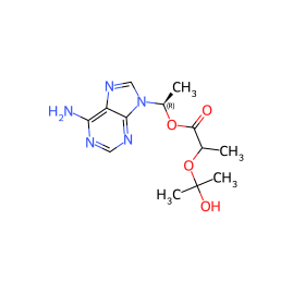 CC(OC(C)(C)O)C(=O)O[C@H](C)n1cnc2c(N)ncnc21